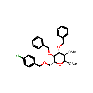 CO[C@H]1O[C@H](COCc2ccc(Cl)cc2)[C@@H](OCc2ccccc2)[C@H](OCc2ccccc2)[C@H]1OC